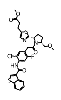 COC[C@@H]1CC[C@@H](c2ncc(CCC(=O)OC)s2)N1C(=O)Cc1cc(Cl)c(NC(=O)c2csc3ccccc23)cc1F